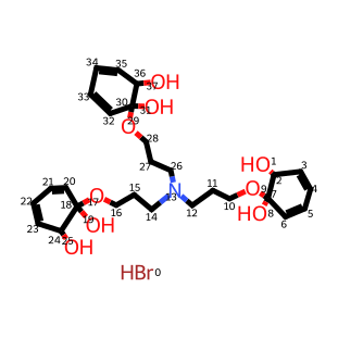 Br.OC1C=CC=CC1(O)OCCCN(CCCOC1(O)C=CC=CC1O)CCCOC1(O)C=CC=CC1O